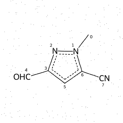 Cn1nc(C=O)cc1C#N